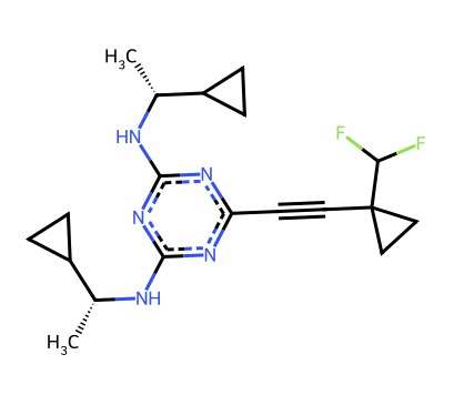 C[C@@H](Nc1nc(C#CC2(C(F)F)CC2)nc(N[C@H](C)C2CC2)n1)C1CC1